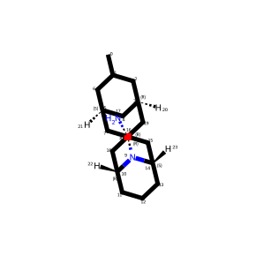 CC1C[C@@H]2C[C@H](C1)C[C@@H](N1[C@@H]3CCC[C@H]1C[C@@H](N)C3)C2